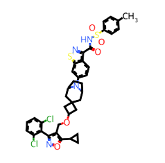 Cc1ccc(S(=O)(=O)NC(=O)c2nsc3cc(N4C5CCC4CC4(CC(OCc6c(-c7c(Cl)cccc7Cl)noc6C6CC6)C4)C5)ccc23)cc1